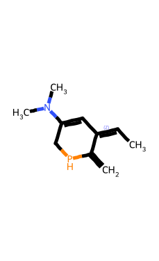 C=C1PCC(N(C)C)=C/C1=C/C